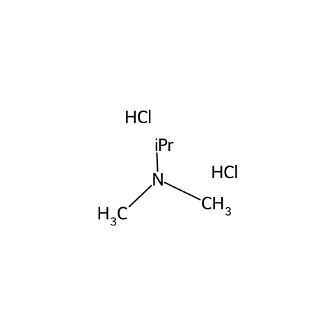 CC(C)N(C)C.Cl.Cl